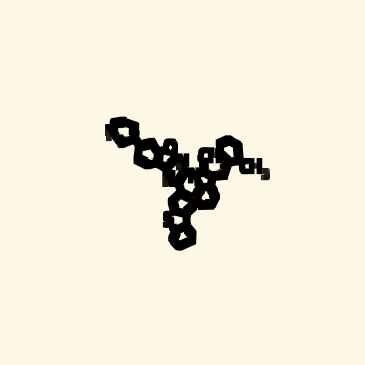 C=c1/c(=C\c2ccccc2C)c2ccccc2n1-c1nc2oc3cc(-c4cccnc4)ccc3c2nc1-c1ccc2c(c1)sc1ccccc12